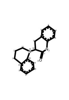 O=C1[N]c2ccccc2CC1N1CCCc2ccccc21